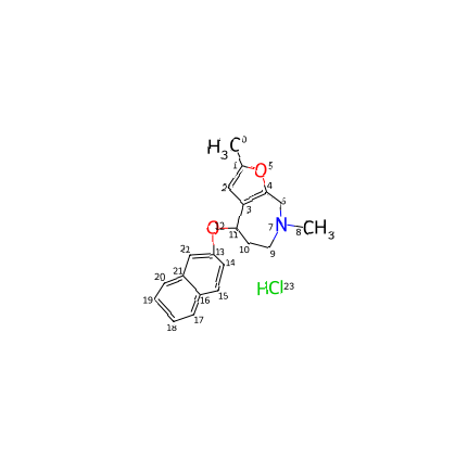 Cc1cc2c(o1)CN(C)CCC2Oc1ccc2ccccc2c1.Cl